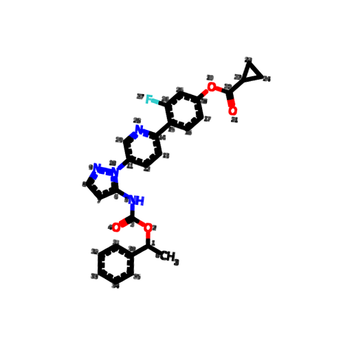 CC(OC(=O)Nc1ccnn1-c1ccc(-c2ccc(OC(=O)C3CC3)cc2F)nc1)c1ccccc1